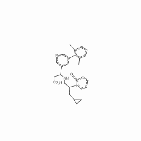 Cc1cccc(C)c1-c1cncc(C(CC(=O)O)NC[C@H](CC2CC2)n2ccccc2=O)c1